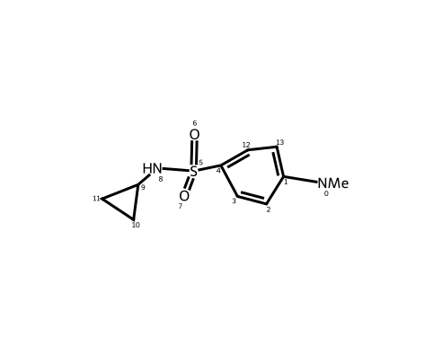 CNc1ccc(S(=O)(=O)NC2CC2)cc1